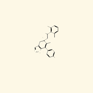 CC1=C(c2ccc(F)cc2)c2[nH]ncc2C[C@]1(C)CC(O)c1c(C)cccc1C